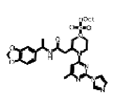 CCCCCCCCS(=O)(=O)N1CCN(c2cc(C)nc(-n3ccnc3)n2)C(CC(=O)NC(C)c2ccc3c(c2)OCO3)C1